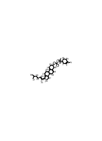 CC1=CCC(C(C)(C)OC(=O)OC2CC[C@@]3(C)C(=CCC4C3CC[C@@]3(C)C4CC[C@@H]3[C@H](C)CCCC(C)C)C2)CC1